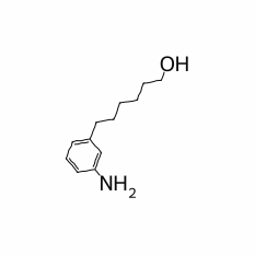 Nc1cccc(CCCCCCO)c1